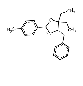 CCC1(CC)O[C@@H](c2ccc(C)cc2)N[C@H]1Cc1ccccc1